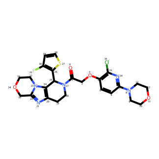 O=C(COc1ccc(N2CCOCC2)nc1Cl)N1CCc2nc3n(c2C1c1sccc1F)CCOC3